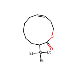 CC[Si](CC)(CC)C1CCCCCC=CCCOC1=O